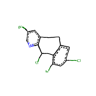 Clc1cc(Br)c2c(c1)CCc1cc(Br)cnc1C2Cl